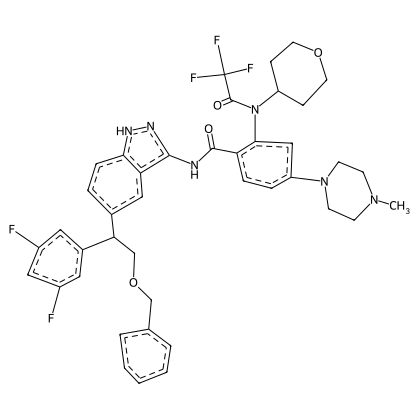 CN1CCN(c2ccc(C(=O)Nc3n[nH]c4ccc(C(COCc5ccccc5)c5cc(F)cc(F)c5)cc34)c(N(C(=O)C(F)(F)F)C3CCOCC3)c2)CC1